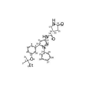 CCC(C)(C)Oc1cccc(-c2cc(NC(=O)[C@@H]3CNC(=O)C3)nn2-c2ccccc2)c1